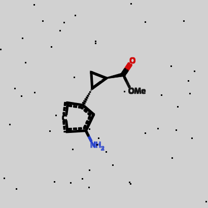 COC(=O)[C@@H]1C[C@H]1c1cccc(N)c1